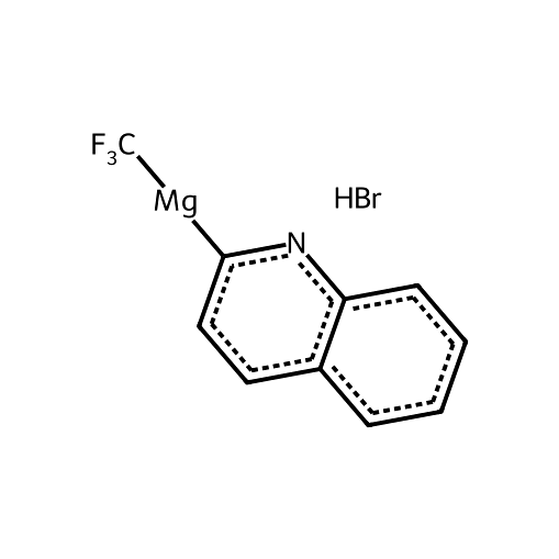 Br.F[C](F)(F)[Mg][c]1ccc2ccccc2n1